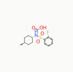 C[C@H]1CC[C@H](NS(=O)(=O)c2ccccc2F)CC1.O=CO